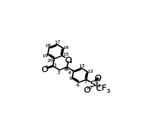 O=C1C[C@H](c2ccc(S(=O)(=O)C(F)(F)F)cc2)Oc2ccccc21